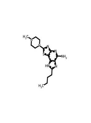 CCCCc1nc2c(N)nc3nc(N4CCN(C)CC4)sc3c2[nH]1